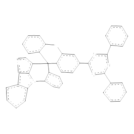 c1ccc(-c2nc(-c3ccccc3)nc(-c3ccc4c(c3)Oc3ccccc3C43c4ccccc4-n4c5ccccc5c5cccc3c54)n2)cc1